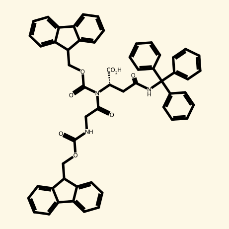 O=C(C[C@@H](C(=O)O)N(C(=O)CNC(=O)OCC1c2ccccc2-c2ccccc21)C(=O)OCC1c2ccccc2-c2ccccc21)NC(c1ccccc1)(c1ccccc1)c1ccccc1